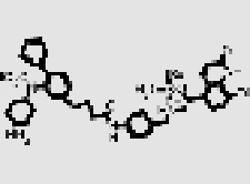 CC(C)(C)[Si](C)(C)O[C@@H](CNCc1ccc(NC(=O)CCCc2ccc(-c3ccccc3)c(N(C(=O)O)[C@H]3CC[C@H](N)CC3)c2)cc1)c1ccc(O)c2[nH]c(=O)ccc12